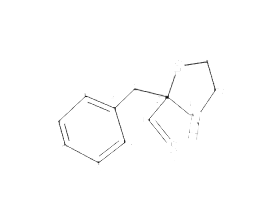 S=CC1(Cc2ccccc2)NCCS1